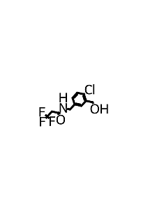 O=C(CC(F)(F)F)NCc1ccc(Cl)c(CO)c1